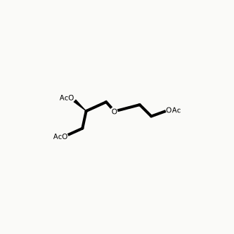 CC(=O)OCCOC[C@@H](COC(C)=O)OC(C)=O